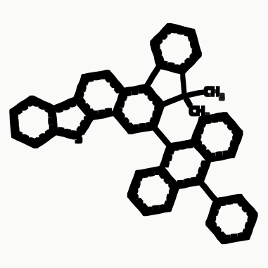 CC1(C)c2ccccc2-c2c1c(-c1c3ccccc3c(-c3ccccc3)c3ccccc13)cc1c2ccc2c3ccccc3sc12